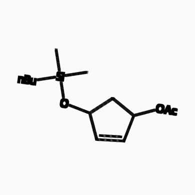 CCCC[Si](C)(C)OC1C=CC(OC(C)=O)C1